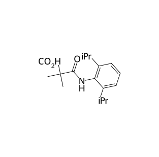 CC(C)c1cccc(C(C)C)c1NC(=O)C(C)(C)C(=O)O